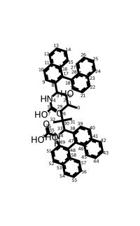 CC(CC(NC(=O)O)c1ccc2ccccc2c1-c1c(O)ccc2ccccc12)CC(C)(C)C(NC(=O)O)c1ccc2ccccc2c1-c1c(O)ccc2ccccc12